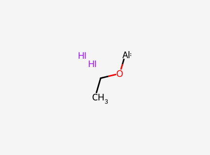 CC[O][Al].I.I